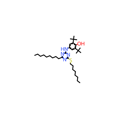 CCCCCCCCCc1nc(Nc2cc(C(C)(C)C)c(O)c(C(C)(C)C)c2)nc(SCCCCCCCC)n1